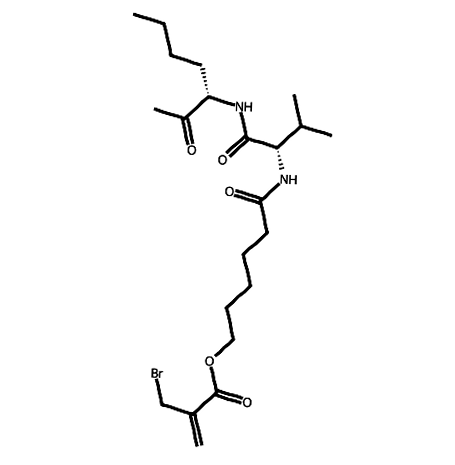 C=C(CBr)C(=O)OCCCCCC(=O)N[C@H](C(=O)N[C@@H](CCCC)C(C)=O)C(C)C